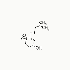 CC(C)CCCC1=CC(O)CCC12CO2